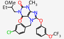 CCC(Cn1c(=O)c2c(nc(Oc3cccc(OC(F)(F)F)c3)n2Cc2ccc(Cl)cc2)n(C)c1=O)OC